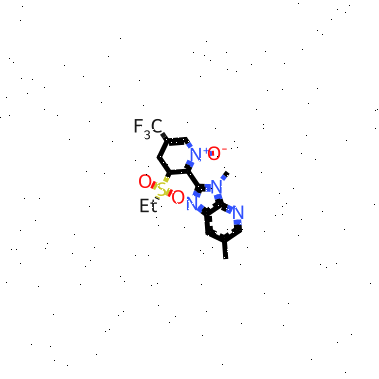 CCS(=O)(=O)C1CC(C(F)(F)F)=C[N+]([O-])=C1c1nc2cc(C)cnc2n1C